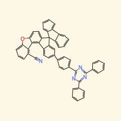 N#Cc1cccc2oc3ccc4c(c3c12)-c1ccc(-c2ccc(-c3nc(-c5ccccc5)nc(-c5ccccc5)n3)cc2)cc1C41c2ccccc2-c2ccccc21